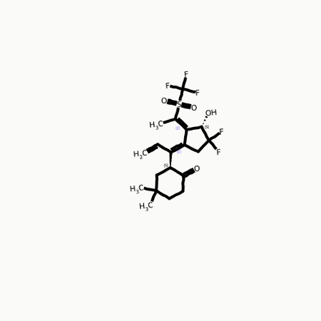 C=C/C(=C1/CC(F)(F)[C@@H](O)/C1=C(/C)S(=O)(=O)C(F)(F)F)[C@@H]1CC(C)(C)CCC1=O